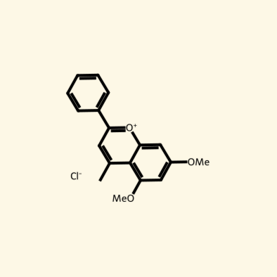 COc1cc(OC)c2c(C)cc(-c3ccccc3)[o+]c2c1.[Cl-]